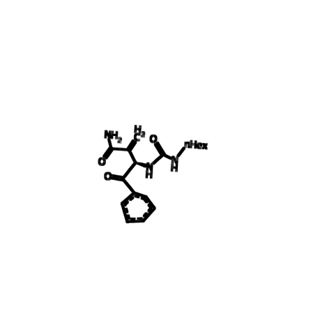 C=C(C(N)=O)[C@@H](NC(=O)NCCCCCC)C(=O)c1ccccc1